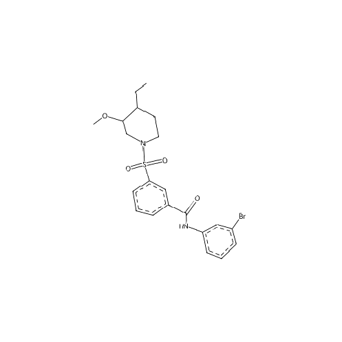 CCC1CCN(S(=O)(=O)c2cccc(C(=O)Nc3cccc(Br)c3)c2)CC1OC